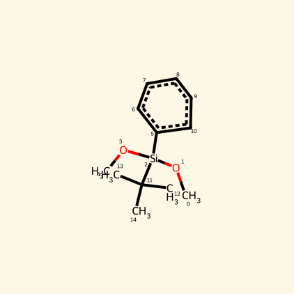 CO[Si](OC)(c1ccccc1)C(C)(C)C